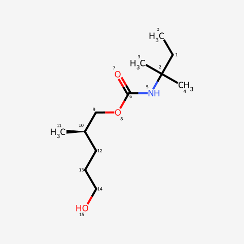 CCC(C)(C)NC(=O)OC[C@H](C)CCCO